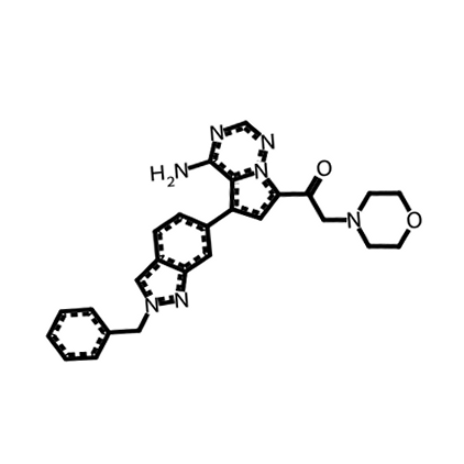 Nc1ncnn2c(C(=O)CN3CCOCC3)cc(-c3ccc4cn(Cc5ccccc5)nc4c3)c12